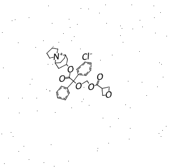 O=C(OCOC(C(=O)OC1CC2CCC(C1)[N+]21CCCC1)(c1ccccc1)c1ccccc1)C1COC1.[Cl-]